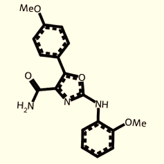 COc1ccc(-c2oc(Nc3ccccc3OC)nc2C(N)=O)cc1